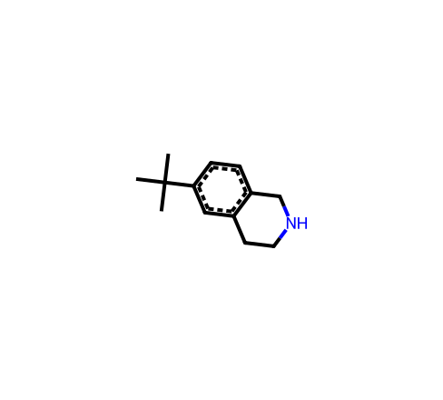 CC(C)(C)c1ccc2c(c1)CCNC2